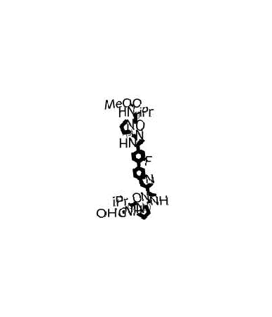 COC(=O)N[C@H](C(=O)N1CCC[C@H]1c1ncc(-c2ccc(-c3ccc4cc(-c5c[nH]c([C@@H]6CCCN6C(=O)[C@@H](NC=O)C(C)C)n5)cnc4c3)c(F)c2)[nH]1)C(C)C